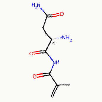 C=C(C)C(=O)NC(=O)[C@@H](N)CC(N)=O